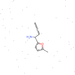 C=C=CC(N)c1ccc(C)o1